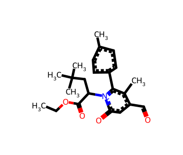 CCOC(=O)C(CC(C)(C)C)n1c(-c2ccc(C)cc2)c(C)c(C=O)cc1=O